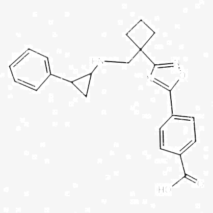 O=C(O)c1ccc(-c2nc(C3(CNC4CC4c4ccccc4)CCC3)no2)cc1